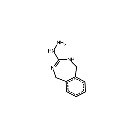 NNC1=NCc2ccccc2CN1